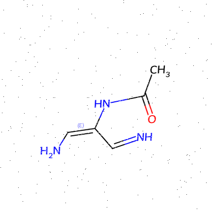 CC(=O)N/C(C=N)=C/N